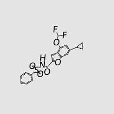 O=C(NS(=O)(=O)c1ccccc1)c1cc2c(OC(F)F)cc(C3CC3)cc2o1